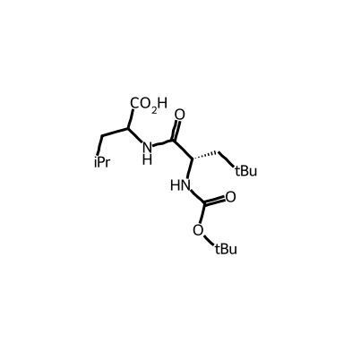 CC(C)CC(NC(=O)[C@H](CC(C)(C)C)NC(=O)OC(C)(C)C)C(=O)O